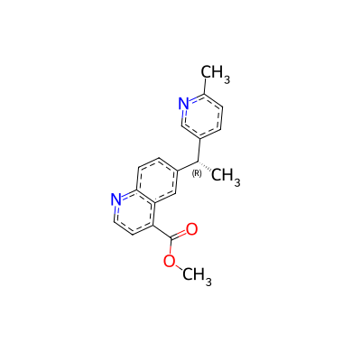 COC(=O)c1ccnc2ccc([C@@H](C)c3ccc(C)nc3)cc12